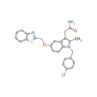 Cc1c(CC(N)=O)c2cc(OCc3nc4ccccc4s3)ccc2n1Cc1ccc(Cl)cc1